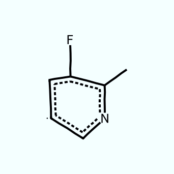 Cc1nc[c]cc1F